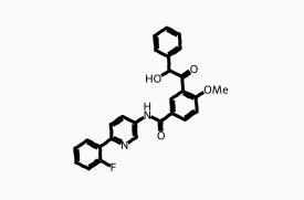 COc1ccc(C(=O)Nc2ccc(-c3ccccc3F)nc2)cc1C(=O)C(O)c1ccccc1